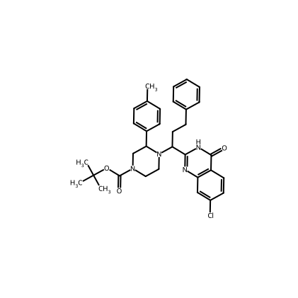 Cc1ccc(C2CN(C(=O)OC(C)(C)C)CCN2C(CCc2ccccc2)c2nc3cc(Cl)ccc3c(=O)[nH]2)cc1